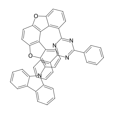 c1ccc(-c2nc(-c3ccccc3)nc(-c3cccc4oc5ccc6oc7c(-n8c9ccccc9c9ccccc98)cccc7c6c5c34)n2)cc1